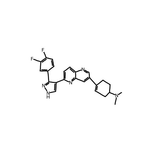 CN(C)C1CC=C(c2cnc3ccc(-c4c[nH]nc4-c4ccc(F)c(F)c4)nc3c2)CC1